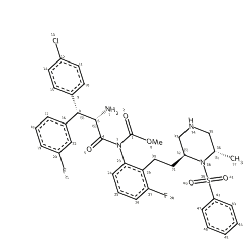 COC(=O)N(C(=O)[C@@H](N)[C@@H](c1ccc(Cl)cc1)c1cccc(F)c1)c1cccc(F)c1CC[C@H]1CNC[C@H](C)N1S(=O)(=O)c1ccccc1